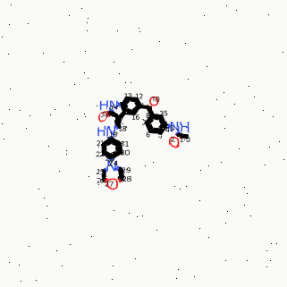 CC(=O)Nc1cccc(C(=O)c2ccc3c(c2)C(=CNc2ccc(N4CCOCC4)cc2)C(=O)N3)c1